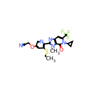 CCSc1cc(OCC#N)cnc1-c1nc2cc(C(F)(F)F)n(C3CC3)c(=O)c2n1C